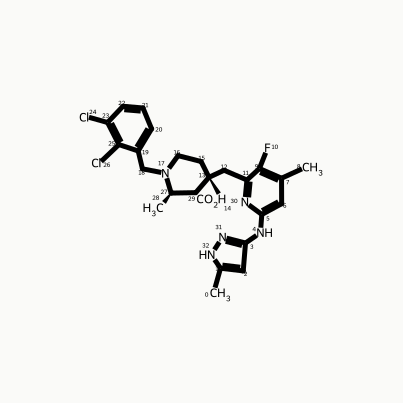 Cc1cc(Nc2cc(C)c(F)c(C[C@@]3(C(=O)O)CCN(Cc4cccc(Cl)c4Cl)[C@H](C)C3)n2)n[nH]1